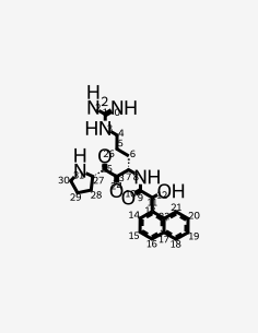 N=C(N)NCCC[C@H](NC(=O)C(O)c1cccc2ccccc12)C(=O)C(=O)[C@@H]1CCCN1